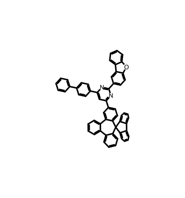 c1ccc(-c2ccc(-c3cc(-c4ccc5c(c4)-c4ccccc4-c4ccccc4C54c5ccccc5-c5ccccc54)nc(-c4ccc5oc6ccccc6c5c4)n3)cc2)cc1